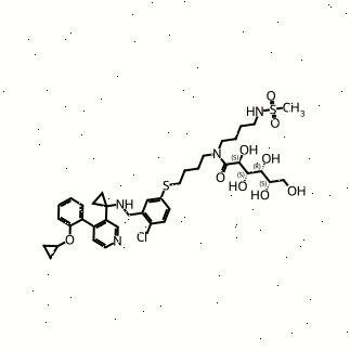 CS(=O)(=O)NCCCCN(CCCCSc1ccc(Cl)c(CNC2(c3cnccc3-c3ccccc3OC3CC3)CC2)c1)C(=O)[C@@H](O)[C@@H](O)[C@H](O)[C@@H](O)CO